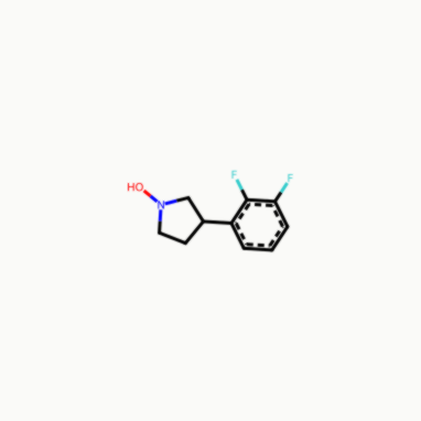 ON1CCC(c2cccc(F)c2F)C1